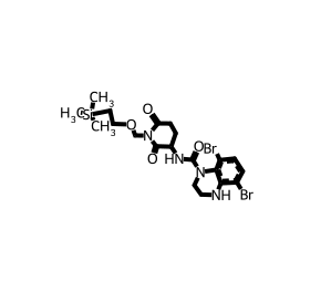 C[Si](C)(C)CCOCN1C(=O)CCC(NC(=O)N2CCNc3c(Br)ccc(Br)c32)C1=O